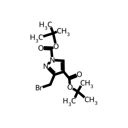 CC(C)(C)OC(=O)c1cn(C(=O)OC(C)(C)C)nc1CBr